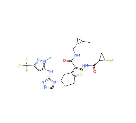 CC1CC1CNC(=O)c1c(NC(=O)[C@H]2C[C@H]2F)sc2c1C[C@@H](n1cnnc1Nc1cc(C(F)(F)F)nn1C)CC2